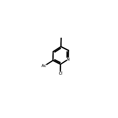 CC(=O)c1cc(C)cnc1Cl